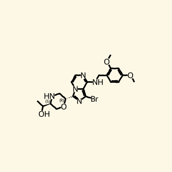 COc1ccc(CNc2nccn3c([C@H]4CN[C@H](C(C)O)CO4)nc(Br)c23)c(OC)c1